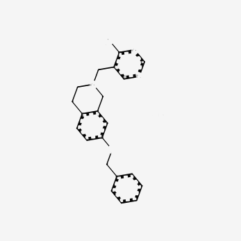 Cl.Cl.Nc1ncncc1CN1CCc2ccc(OCc3ccccc3)cc2C1